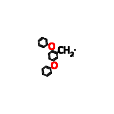 [CH2]c1cc(Oc2ccccc2)ccc1Oc1ccccc1